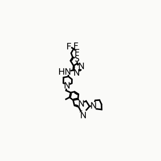 Cc1c(CN2CCC(Nc3ncnc4sc(CC(F)(F)F)cc34)CC2)ccc2c1cc(C#N)n2CC(C)N1CCCCC1